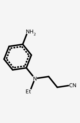 CCN(CCC#N)c1cccc(N)c1